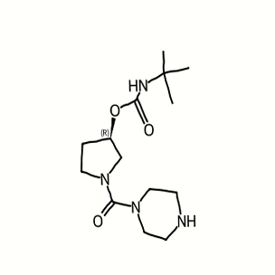 CC(C)(C)NC(=O)O[C@@H]1CCN(C(=O)N2CCNCC2)C1